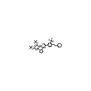 C/C=C(\N=C(/OC)C1CCCN1C(=NC(=O)OC(C)(C)C)NC(=O)OC(C)(C)C)c1ccc(CCC2=CCCCC2)c(C(F)(F)F)c1